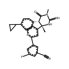 CN1C(=N)N[C@](C)(c2ccnc(-c3cc(F)cc(C#N)c3)c2)[C@H](c2ccc(C3CC3)cc2)C1=O